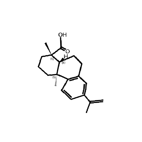 C=C(C)c1ccc2c(c1)CC[C@H]1[C@@](C)(C(=O)O)CCC[C@]21C